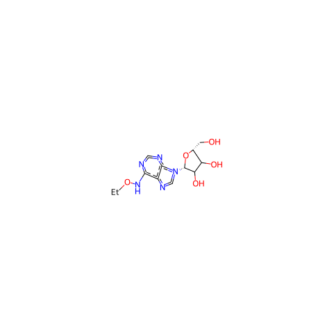 CCONc1ncnc2c1ncn2[C@@H]1O[C@H](CO)C(O)C1O